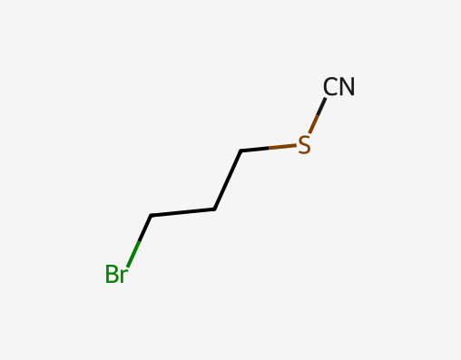 N#CSCCCBr